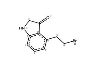 O=C1CNc2cccc(CCBr)c21